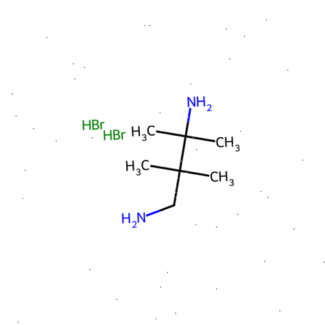 Br.Br.CC(C)(N)C(C)(C)CN